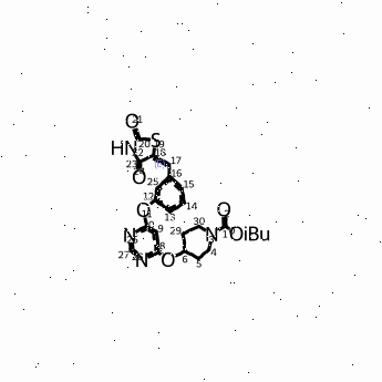 CC(C)COC(=O)N1CCC(Oc2cc(Oc3cccc(/C=C4/SC(=O)NC4=O)c3)ncn2)CC1